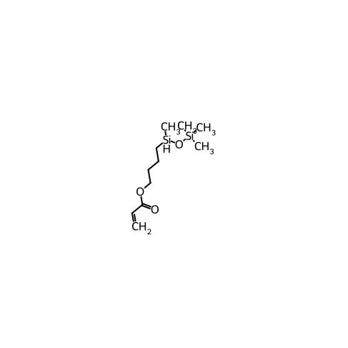 C=CC(=O)OCCCC[SiH](C)O[Si](C)(C)C